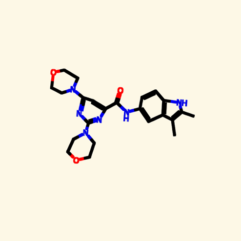 Cc1[nH]c2ccc(NC(=O)c3cc(N4CCOCC4)nc(N4CCOCC4)n3)cc2c1C